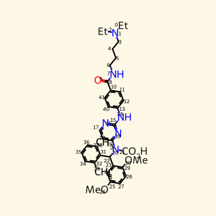 CCN(CC)CCCCNC(=O)c1ccc(Nc2nccc(N(C(=O)O)C(c3cc(OC)ccc3OC)c3c(C)cccc3C)n2)cc1